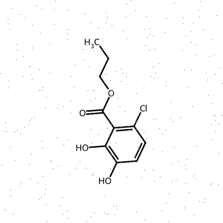 CCCOC(=O)c1c(Cl)ccc(O)c1O